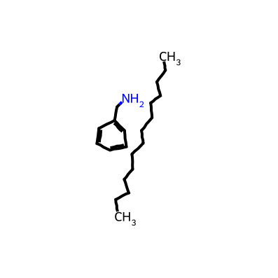 CCCCCCCCCCCCCC.NCc1ccccc1